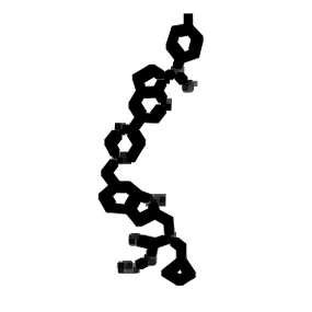 C/C=C(\N=C/NCc1ccc2cc(CN(CC3CCC3)C(=O)OC(C)(C)C)[nH]c2c1)c1cnc2c(ccn2[S+]([O-])c2ccc(C)cc2)c1